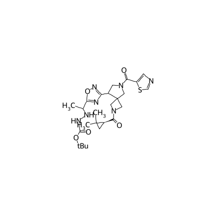 CC(NNC(=O)OC(C)(C)C)c1nc(C2CN(C(=O)c3cncs3)CC23CN(C(=O)[C@H]2CC2(C)C)C3)no1